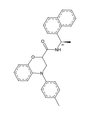 Cc1ccc(N2CC(C(=O)N[C@H](C)c3cccc4ccccc34)Oc3ccccc32)cc1